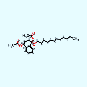 CCCCCCCCCCCCOC1(OC(C)=O)CC=C(OC(C)=O)c2ccccc21